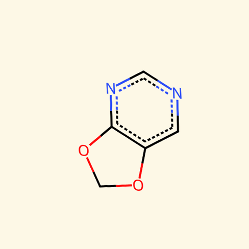 c1ncc2c(n1)OCO2